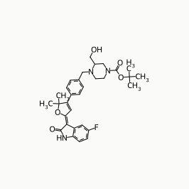 CC(C)(C)OC(=O)N1CCN(Cc2ccc(C3=CC(=C4C(=O)Nc5ccc(F)cc54)OC3(C)C)cc2)C(CO)C1